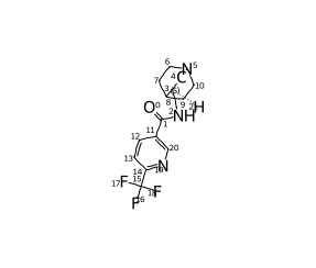 O=C(N[C@@H]1CN2CCC1CC2)c1ccc(C(F)(F)F)nc1